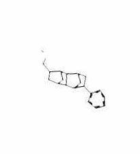 CCOCC1CC2CC1C1C3CC(c4ccccc4)C(C3)C21